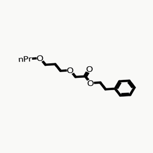 CCCOCCCOCC(=O)OCCc1ccccc1